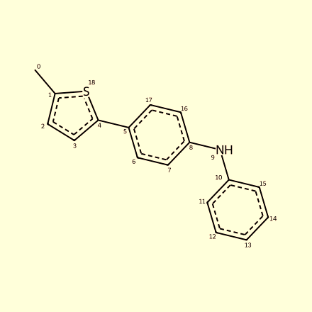 Cc1ccc(-c2ccc(Nc3ccccc3)cc2)s1